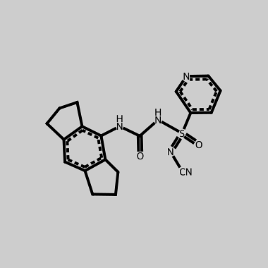 N#CN=S(=O)(NC(=O)Nc1c2c(cc3c1CCC3)CCC2)c1cccnc1